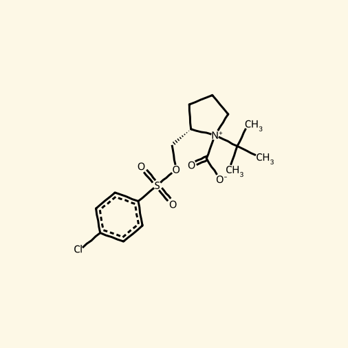 CC(C)(C)[N+]1(C(=O)[O-])CCC[C@H]1COS(=O)(=O)c1ccc(Cl)cc1